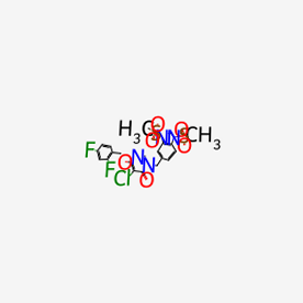 CS(=O)(=O)N1CN(S(C)(=O)=O)c2cc(Cn3cnc(OCc4ccc(F)cc4F)c(Cl)c3=O)ccc21